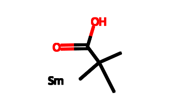 CC(C)(C)C(=O)O.[Sm]